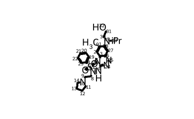 Cc1cc2nc(NN(CCN3CCCC3)S(=O)(=O)c3ccccc3)nnc2cc1N(CCO)C(C)C